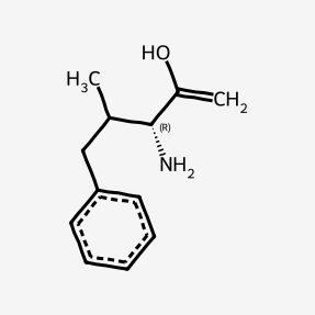 C=C(O)[C@H](N)C(C)Cc1ccccc1